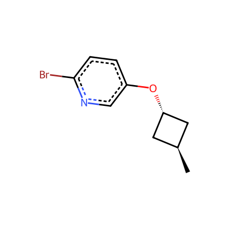 C[C@H]1C[C@H](Oc2ccc(Br)nc2)C1